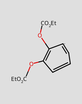 CCOC(=O)Oc1[c]cccc1OC(=O)OCC